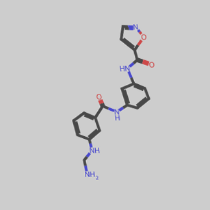 NCNc1cccc(C(=O)Nc2cccc(NC(=O)c3ccno3)c2)c1